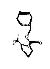 O=C(I)[C@@H]1CCCN1C(=O)OCc1ccccc1